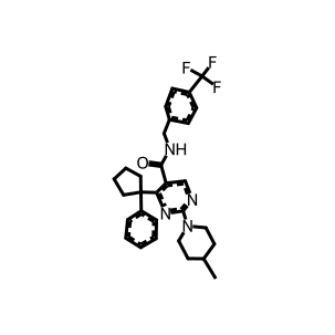 CC1CCN(c2ncc(C(=O)NCc3ccc(C(F)(F)F)cc3)c(C3(c4ccccc4)CCCC3)n2)CC1